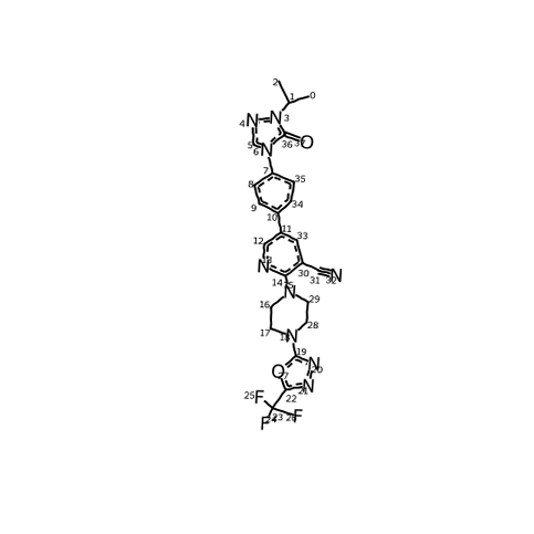 CC(C)n1ncn(-c2ccc(-c3cnc(N4CCN(c5nnc(C(F)(F)F)o5)CC4)c(C#N)c3)cc2)c1=O